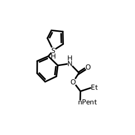 CCCCCC(CC)OC(=O)Nc1ccccc1[SH]1C=CC=C1